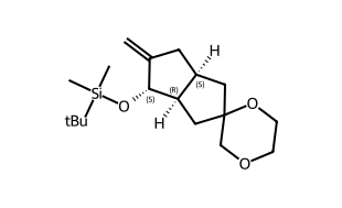 C=C1C[C@H]2CC3(COCCO3)C[C@H]2[C@@H]1O[Si](C)(C)C(C)(C)C